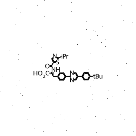 CC(C)c1ncc(C(=O)N[C@@H](Cc2ccc(-c3ncc(-c4ccc(C(C)(C)C)cc4)cn3)cc2)C(=O)O)s1